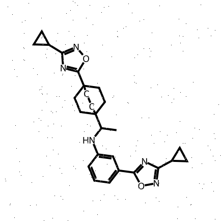 CC(Nc1cccc(-c2nc(C3CC3)no2)c1)C12CCC(c3nc(C4CC4)no3)(CC1)CC2